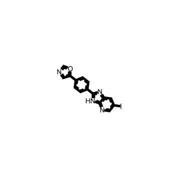 Ic1cnc2[nH]c(-c3ccc(-c4cnco4)cc3)nc2c1